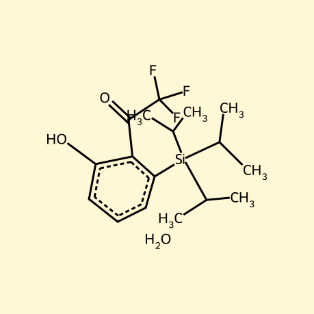 CC(C)[Si](c1cccc(O)c1C(=O)C(F)(F)F)(C(C)C)C(C)C.O